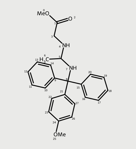 COC(=O)CNC(C)NC(c1ccccc1)(c1ccccc1)c1ccc(OC)cc1